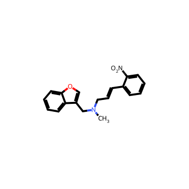 CN(C/C=C/c1ccccc1[N+](=O)[O-])Cc1coc2ccccc12